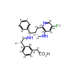 C[C@H](CN[C@H](c1ccccc1)[C@H]1CNc2cc(F)cnc2C1)c1cccc(CC(=O)O)c1